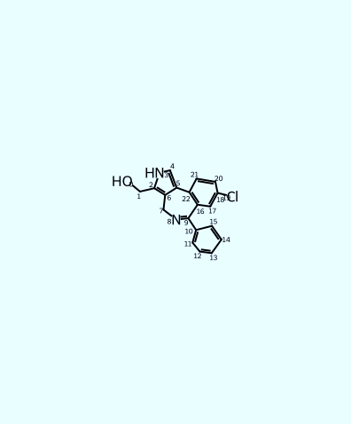 OCc1[nH]cc2c1CN=C(c1ccccc1)c1cc(Cl)ccc1-2